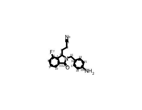 N#CCCC1c2c(F)cccc2C(=O)N1Cc1ccc(N)cc1